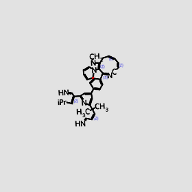 C=N/C1=C(N2C=CC=CC2)/C(c2ccc(-c3cc(/C(C=N)=C/C(C)C)nc(C(C)(C)/C=C\C=N)c3)cc2)=N\C/C=C\C=C/C1